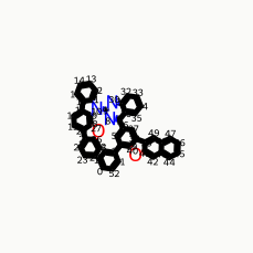 c1ccc(-c2cc(-c3nc(-n4c5ccccc5c5ccc6c7ccccc7oc6c54)nc4ccccc34)cc3c2oc2cc4ccccc4cc23)cc1